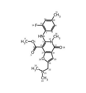 COC(=O)c1c(Nc2ccc(C)cc2F)n(C)c(=O)c2cc(CN(C)C)oc12